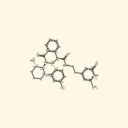 Cc1cc(CCNC(=O)[C@@H]2c3ccccc3C(=O)N([C@H]3CCCC[C@@H]3O)[C@H]2c2ccc(Cl)cc2Cl)cc(=O)[nH]1